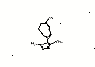 Cn1ncc(N)c1N1CCCC(O)CC1